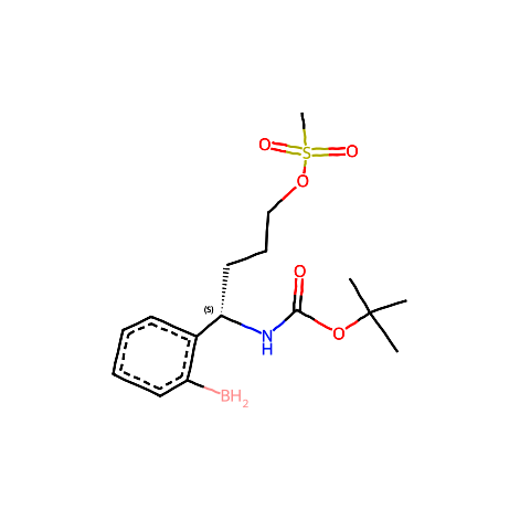 Bc1ccccc1[C@H](CCCOS(C)(=O)=O)NC(=O)OC(C)(C)C